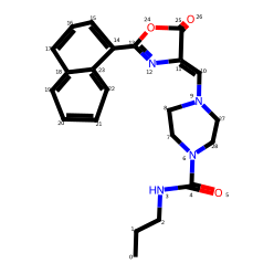 CCCNC(=O)N1CCN(C=C2N=C(c3cccc4ccccc34)OC2=O)CC1